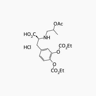 CCOC(=O)Oc1ccc(C[C@H](NCC(C)OC(C)=O)C(=O)O)cc1OC(=O)OCC.Cl